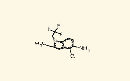 CCc1cc2c(Cl)c(N)ccc2n1CC(F)(F)F